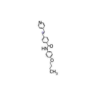 CCCCOc1ccc(NC(=O)c2ccc(/C=C/c3ccncc3)cc2)cc1